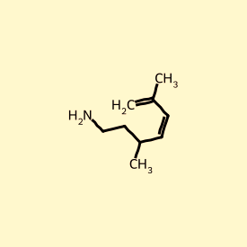 C=C(C)/C=C\C(C)CCN